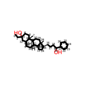 CC[C@]1(O)CC[C@@]2(C)C(=CC[C@H]3[C@@H]4CC[C@H](CCC[C@H](O)c5ccccc5)[C@@]4(C)CC[C@@H]32)C1